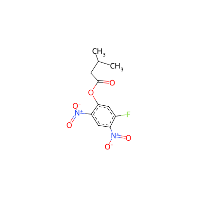 CC(C)CC(=O)Oc1cc(F)c([N+](=O)[O-])cc1[N+](=O)[O-]